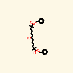 CC(C)(CCCCC(O)CCCCC(C)(C)C(=O)OCc1ccccc1)C(=O)OCc1ccccc1